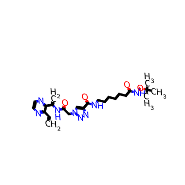 C=Cc1nccnc1C(=C)NC(=O)Cn1cc(C(=O)NCCCCCCC(=O)NOC(C)(C)C)nn1